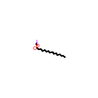 CCCCCC/C=C/CCCCCCCC(=O)OCI